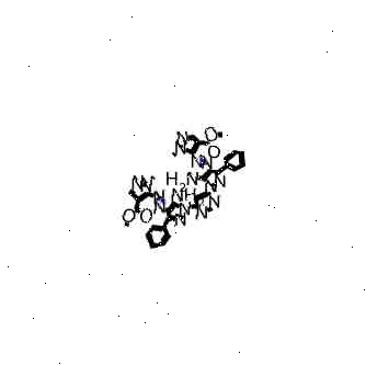 COC(=O)c1cnn(C)c1/N=N/c1c(-c2ccccc2)nn(-c2cc(-n3nc(-c4ccccc4)c(/N=N/c4c(C(=O)OC)cnn4C)c3N)ncn2)c1N